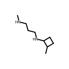 CNCCCNC1CCC1C